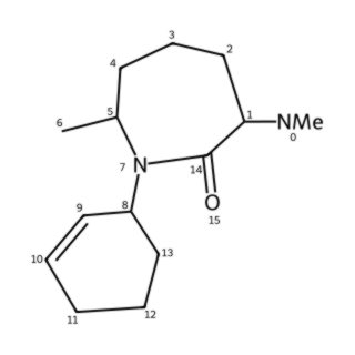 CNC1CCCC(C)N(C2C=CCCC2)C1=O